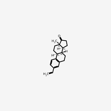 C=Cc1ccc2c(c1)CC[C@@H]1[C@@H]2CC[C@]2(C)C(=O)CC[C@@H]12